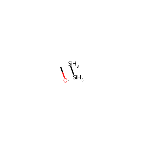 C[O].[SiH3][SiH3]